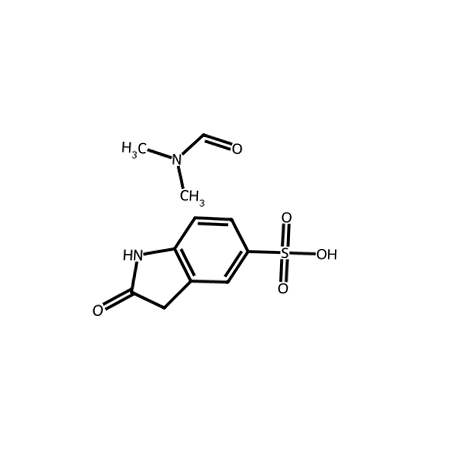 CN(C)C=O.O=C1Cc2cc(S(=O)(=O)O)ccc2N1